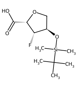 CC(C)(C)[Si](C)(C)O[C@@H]1CO[C@@H](C(=O)O)[C@H]1F